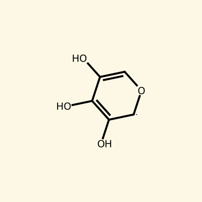 OC1=CO[CH]C(O)=C1O